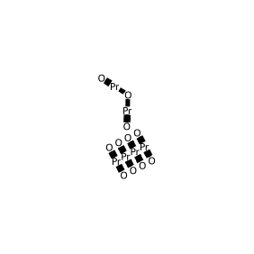 [O]=[Pr]=[O].[O]=[Pr]=[O].[O]=[Pr]=[O].[O]=[Pr]=[O].[O]=[Pr][O][Pr]=[O]